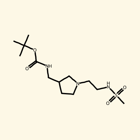 CC(C)(C)OC(=O)NCC1CCN(CCNS(C)(=O)=O)C1